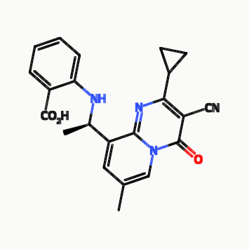 Cc1cc([C@@H](C)Nc2ccccc2C(=O)O)c2nc(C3CC3)c(C#N)c(=O)n2c1